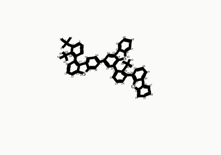 CC(C)(C)c1cccc(-c2cccc3sc4cc(-c5cc(-c6cccc(-c7cccc8c7oc7ccccc78)c6C(C)(C)C)c6sc7ccccc7c6c5)ccc4c23)c1C(C)(C)C